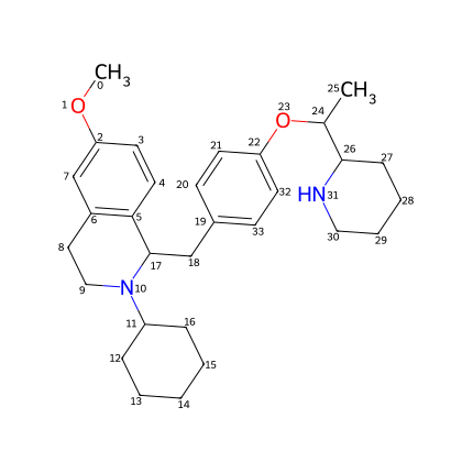 COc1ccc2c(c1)CCN(C1CCCCC1)C2Cc1ccc(OC(C)C2CCCCN2)cc1